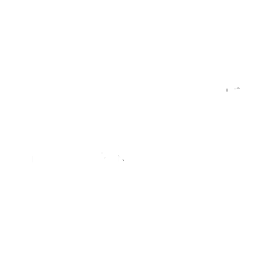 CCCCCCCCCCCCCCCCCCNC(=O)CC(CC(=O)O)C(=O)O